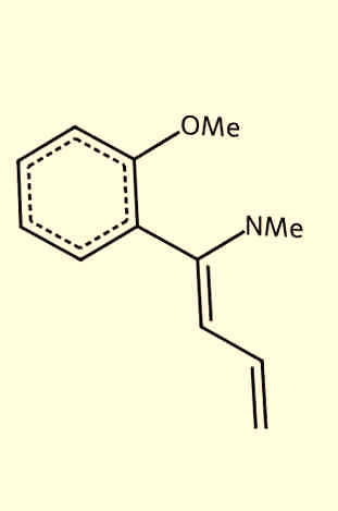 C=C/C=C(\NC)c1ccccc1OC